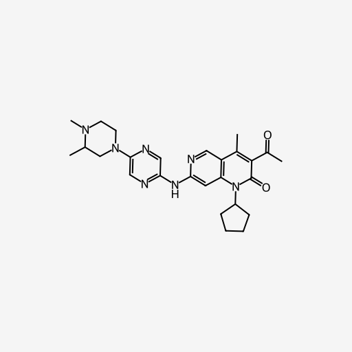 CC(=O)c1c(C)c2cnc(Nc3cnc(N4CCN(C)C(C)C4)cn3)cc2n(C2CCCC2)c1=O